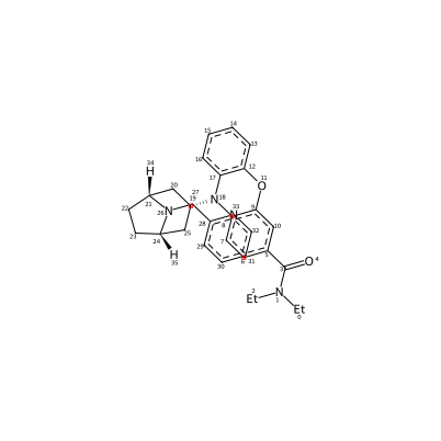 CCN(CC)C(=O)c1ccc2c(c1)Oc1ccccc1N2[C@H]1C[C@H]2CC[C@@H](C1)N2Cc1ccccn1